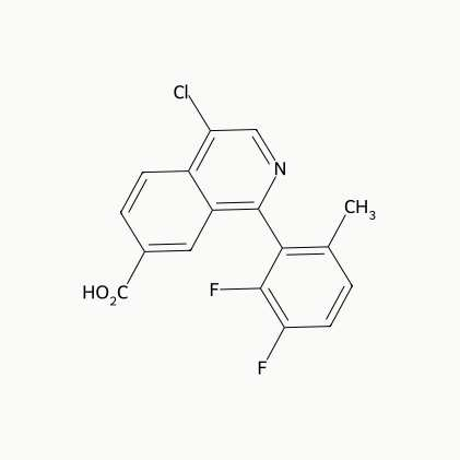 Cc1ccc(F)c(F)c1-c1ncc(Cl)c2ccc(C(=O)O)cc12